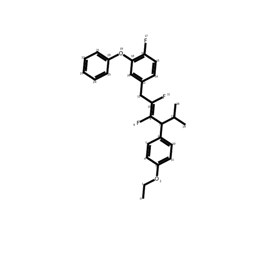 CCOc1ccc(C(C(F)=C(F)Cc2ccc(F)c(Oc3ccccc3)c2)C(C)C)cc1